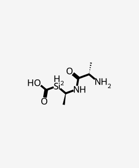 C[C@H](NC(=O)[C@H](C)N)[SiH2]C(=O)O